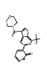 CC(C)(C)c1cc(-c2ccc[nH]c2=O)cc2c(C(=O)N3CCOCC3)coc12